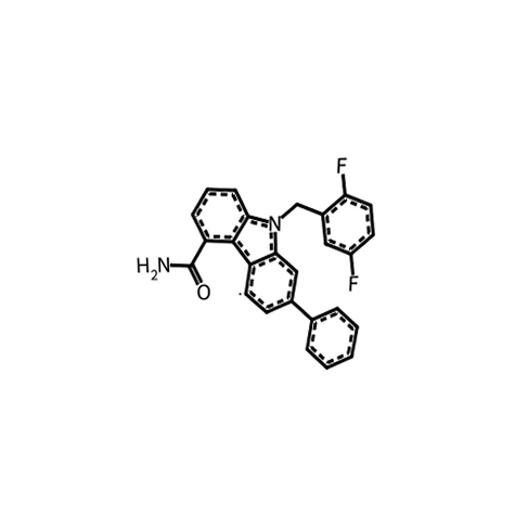 NC(=O)c1cccc2c1c1[c]cc(-c3ccccc3)cc1n2Cc1cc(F)ccc1F